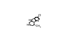 C[C@@H]1CNC[C@H]2Cc3cc(Cl)cnc3N21